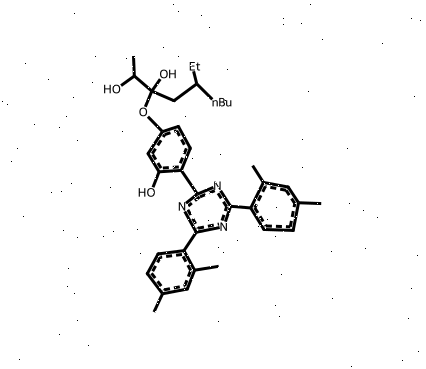 CCCCC(CC)CC(O)(Oc1ccc(-c2nc(-c3ccc(C)cc3C)nc(-c3ccc(C)cc3C)n2)c(O)c1)C(C)O